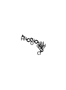 O=C(Nc1ccc(-n2ccc3cc(NCC4CC4)ccc3c2=O)cc1)NS(=O)(=O)c1ccc(Cl)s1